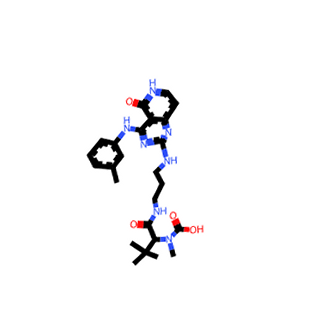 Cc1cccc(Nc2nc(NCCCNC(=O)C(N(C)C(=O)O)C(C)(C)C)nc3cc[nH]c(=O)c23)c1